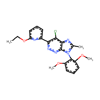 CCOc1cccc(-c2nnc3c(nc(C)n3-c3c(OC)cccc3OC)c2Cl)n1